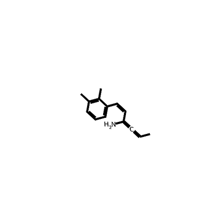 CC=C=C(N)/C=C\c1cccc(C)c1C